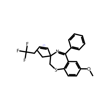 CCC1(/C=C\CC(F)(F)F)CSc2ccc(OC)cc2C(c2ccccc2)=N1